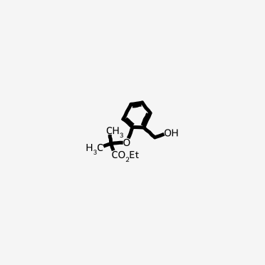 CCOC(=O)C(C)(C)Oc1ccccc1CO